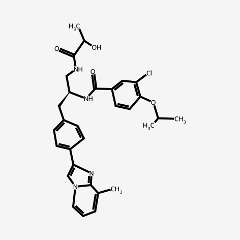 Cc1cccn2cc(-c3ccc(C[C@@H](CNC(=O)C(C)O)NC(=O)c4ccc(OC(C)C)c(Cl)c4)cc3)nc12